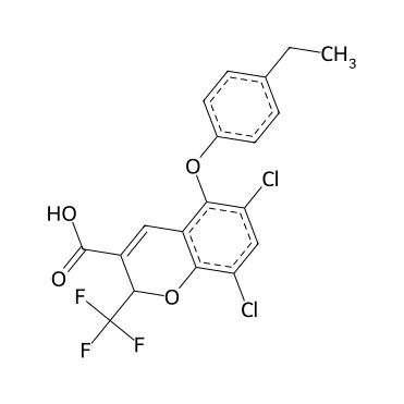 CCc1ccc(Oc2c(Cl)cc(Cl)c3c2C=C(C(=O)O)C(C(F)(F)F)O3)cc1